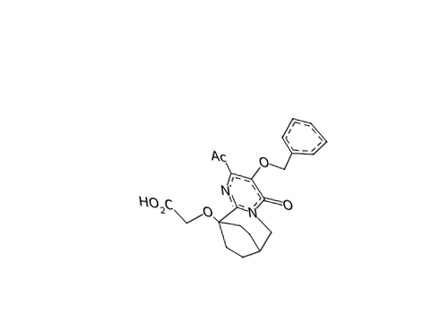 CC(=O)c1nc2n(c(=O)c1OCc1ccccc1)CC1CCC2(OCC(=O)O)CC1